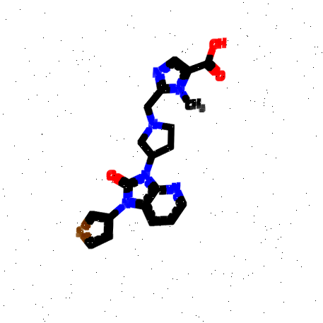 Cn1c(C(=O)O)cnc1CN1CCC(n2c(=O)n(-c3ccsc3)c3cccnc32)C1